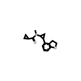 CN(C(=O)C1CC1)C1CC1c1cccc2c1CCO2